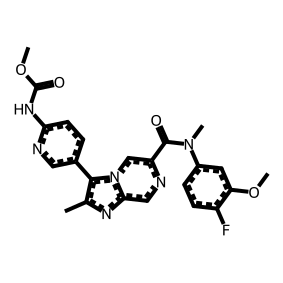 COC(=O)Nc1ccc(-c2c(C)nc3cnc(C(=O)N(C)c4ccc(F)c(OC)c4)cn23)cn1